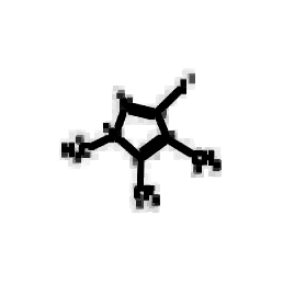 Cc1c(I)nn(C)c1C(F)(F)F